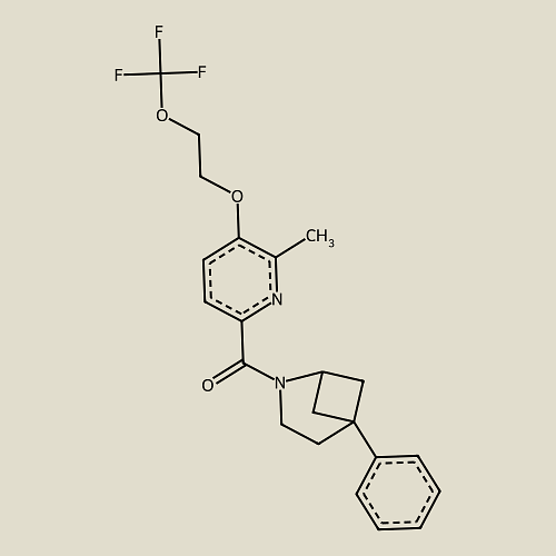 Cc1nc(C(=O)N2CCC3(c4ccccc4)CC2C3)ccc1OCCOC(F)(F)F